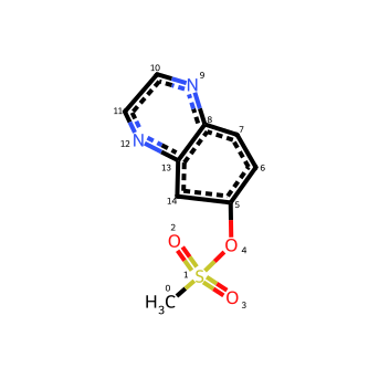 CS(=O)(=O)Oc1ccc2nccnc2c1